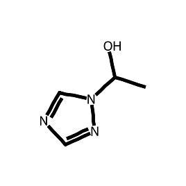 CC(O)n1cncn1